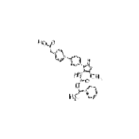 Cc1c[nH]c(-c2ccc(-c3ccc(CC(=O)O)cc3)cc2)c1NC(=O)OC(C)c1ccccc1